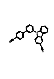 N#Cc1ccc2c(c1)c1ccccc1n2-c1cccc(-c2ccc(C#N)nc2)c1